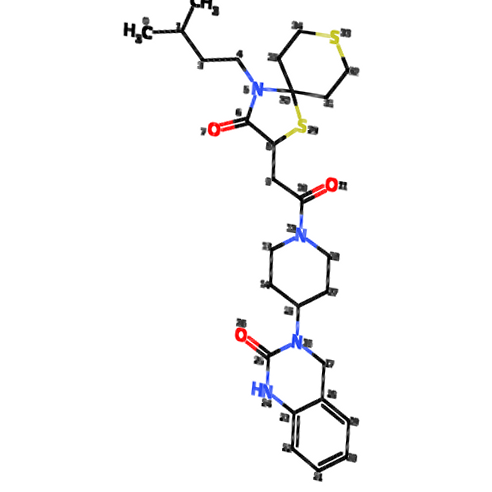 CC(C)CCN1C(=O)C(CC(=O)N2CCC(N3Cc4ccccc4NC3=O)CC2)SC12CCSCC2